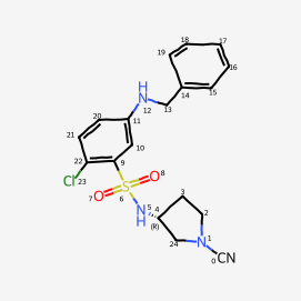 N#CN1CC[C@@H](NS(=O)(=O)c2cc(NCc3ccccc3)ccc2Cl)C1